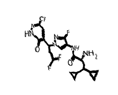 N[C@H](C(=O)Nc1cn(C(CC(F)F)c2cc(Cl)n[nH]c2=O)nc1F)C(C1CC1)C1CC1